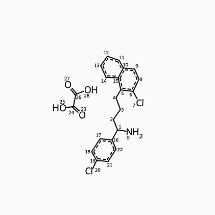 NC(CCCc1c(Cl)ccc2ccccc12)c1ccc(Cl)cc1.O=C(O)C(=O)O